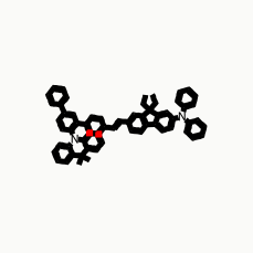 CCC1(CC)c2cc(/C=C/c3ccc(-c4cc(-c5ccccc5)ccc4N4c5ccccc5C(C)(C)c5ccccc54)cc3)ccc2-c2ccc(N(c3ccccc3)c3ccccc3)cc21